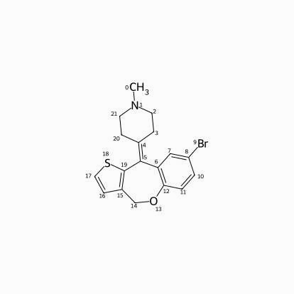 CN1CCC(=C2c3cc(Br)ccc3OCc3ccsc32)CC1